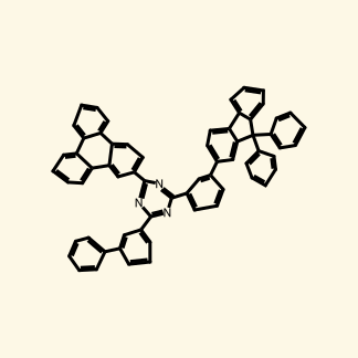 c1ccc(-c2cccc(-c3nc(-c4cccc(-c5ccc6c(c5)C(c5ccccc5)(c5ccccc5)c5ccccc5-6)c4)nc(-c4ccc5c6ccccc6c6ccccc6c5c4)n3)c2)cc1